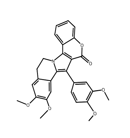 COc1ccc(-c2c3n(c4c2c(=O)oc2ccccc24)CCc2cc(OC)c(OC)cc2-3)cc1OC